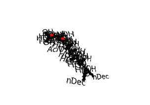 CCCCCCCCCCCCC/C=C/[C@@H](O)[C@H](CO[C@@H]1OC(CO)[C@@H](O[C@@H]2OC(CO)[C@H](O[C@@H]3OC(CO)[C@H](O)[C@H](O[C@@H]4OC(CO)[C@H](O)[C@H](O[C@@H]5OC(CO)[C@H](O)[C@H](O[C@]6(C(=O)O)CC(O)[C@@H](NC(=O)CO)C([C@H](O)[C@@H](CO)O[C@]7(C(=O)O)CC(O)[C@@H](NC(=O)CO)C([C@H](O)[C@H](O)CO)O7)O6)C5O)C4NC(C)=O)C3O)[C@H](O)C2O)[C@H](O)C1O)NC(=O)CCCCCCCCCCCCCCC